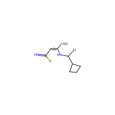 CCC(N/C(C=O)=C\C(=N)Br)C1CCC1